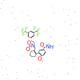 CNC(=O)c1ccc(OC)c(C2=C(CN3C(=O)O[C@H](c4cc(C(F)(F)F)cc(C(F)(F)F)c4)[C@@H]3C)CCCC2)c1